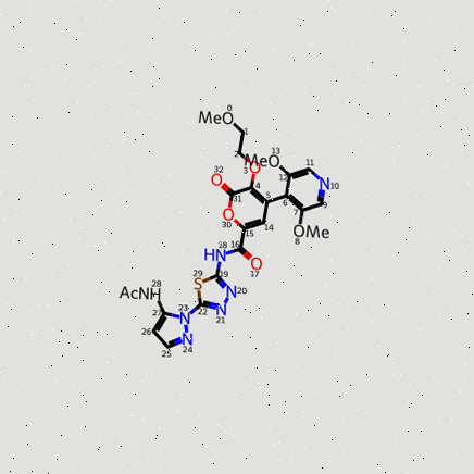 COCCOc1c(-c2c(OC)cncc2OC)cc(C(=O)Nc2nnc(-n3nccc3NC(C)=O)s2)oc1=O